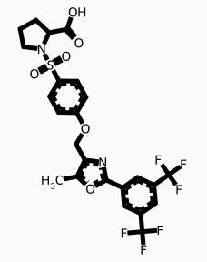 Cc1oc(-c2cc(C(F)(F)F)cc(C(F)(F)F)c2)nc1COc1ccc(S(=O)(=O)N2CCCC2C(=O)O)cc1